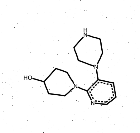 OC1CCN(c2ncccc2N2CCNCC2)CC1